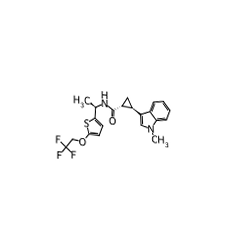 C[C@@H](NC(=O)[C@@H]1C[C@H]1c1cn(C)c2ccccc12)c1ccc(OCC(F)(F)F)s1